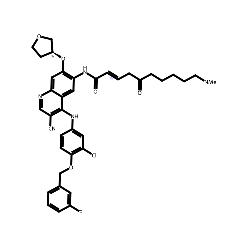 CNCCCCCC(=O)C/C=C/C(=O)Nc1cc2c(Nc3ccc(OCc4cccc(F)c4)c(Cl)c3)c(C#N)cnc2cc1O[C@H]1CCOC1